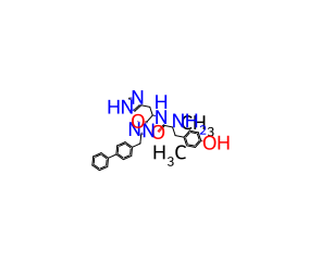 Cc1cc(O)cc(C)c1CC(N)C(=O)NC(Cc1c[nH]cn1)c1nc(Cc2ccc(-c3ccccc3)cc2)no1